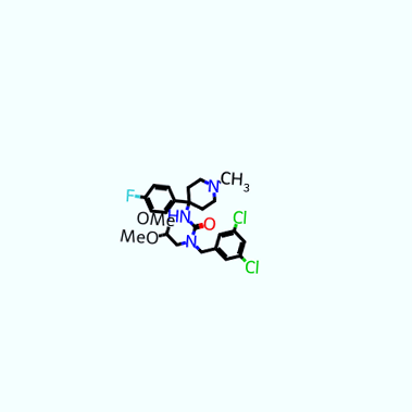 COC(CN(Cc1cc(Cl)cc(Cl)c1)C(=O)NC1(c2ccc(F)cc2)CCN(C)CC1)OC